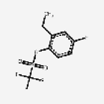 CCc1cc(F)ccc1OS(=O)(=O)C(F)(F)F